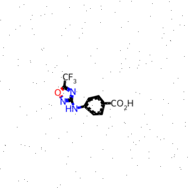 O=C(O)c1ccc(Nc2noc(C(F)(F)F)n2)cc1